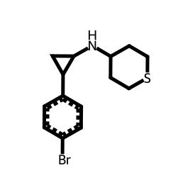 Brc1ccc(C2CC2NC2CCSCC2)cc1